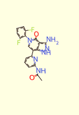 CC(=O)Nc1cccc(-c2cn(-c3c(F)cccc3F)c(=O)c3c(N)n[nH]c23)n1